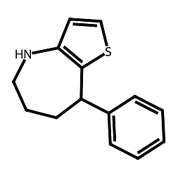 c1ccc(C2CCCNc3ccsc32)cc1